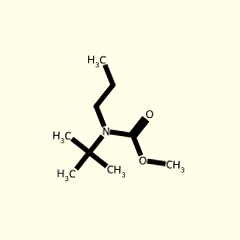 CCCN(C(=O)OC)C(C)(C)C